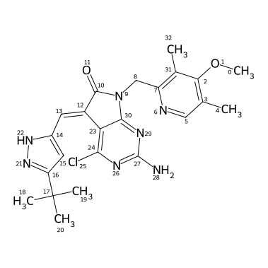 COc1c(C)cnc(CN2C(=O)/C(=C/c3cc(C(C)(C)C)n[nH]3)c3c(Cl)nc(N)nc32)c1C